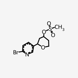 CS(=O)(=O)OC1CCOC(c2ccc(Br)nc2)C1